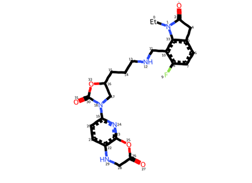 CCN1C(=O)Cc2ccc(F)c(CNCCCC3CN(c4ccc5c(n4)OC(=O)CN5)C(=O)O3)c21